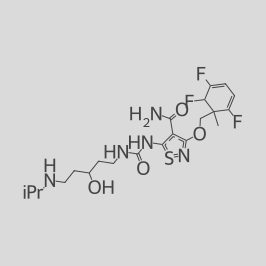 CC(C)NCCC(O)CCNC(=O)Nc1snc(OCC2(C)C(F)=CC=C(F)C2F)c1C(N)=O